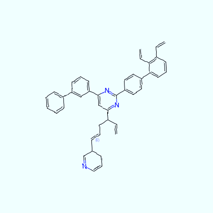 C=Cc1cccc(-c2ccc(-c3nc(-c4cccc(-c5ccccc5)c4)cc(C(C=C)C/C=C/C4C=NC=CC4)n3)cc2)c1C=C